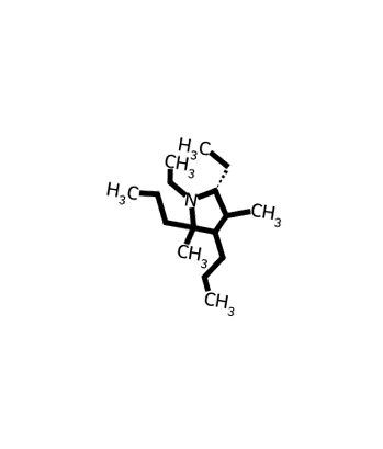 CCCC1C(C)[C@@H](CC)N(CC)C1(C)CCC